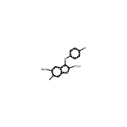 COc1cc2c(Oc3ccc(Cl)cc3)c(C(=O)O)sc2cc1C